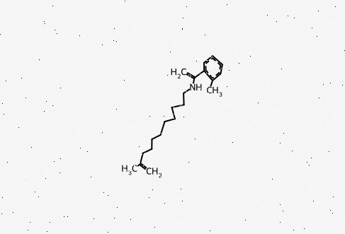 C=C(C)CCCCCCCCCNC(=C)c1ccccc1C